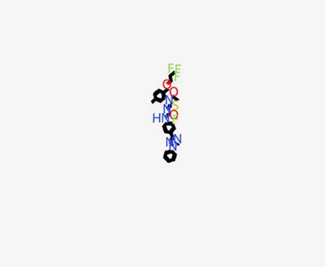 Cc1ccc(COCCC(F)(F)F)c(N2C(=O)CSC2=NC(=O)Nc2ccc(-c3ncn(-c4ccccc4)n3)cc2F)c1